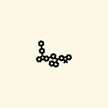 CC1(C)c2ccccc2-c2ccc(N(c3cccc(-c4ccc5c6ccccc6n(-c6ccc(-c7ccccc7)cc6)c5c4)c3)c3cccc4ccccc34)cc21